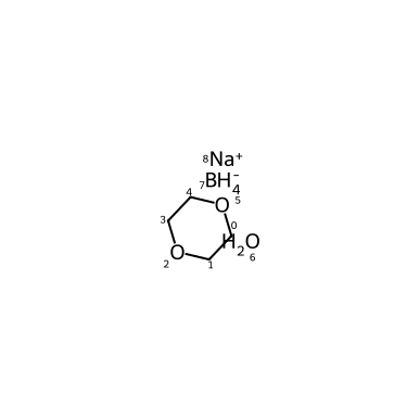 C1COCCO1.O.[BH4-].[Na+]